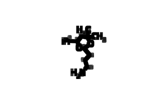 CC(C)C1CC(C)(C)OC(CCCN)O1